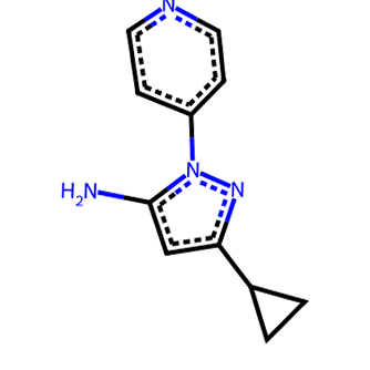 Nc1cc(C2CC2)nn1-c1ccncc1